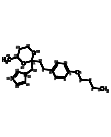 CCCCOc1ccc(CCC2(Cn3ccnc3)OCCC(C)O2)cc1